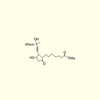 CCCCCC(C)(O)C#CC1C(O)CC(=O)C1CCCCCCC(=O)OC